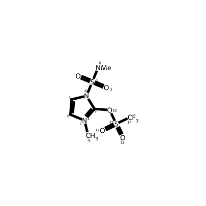 CNS(=O)(=O)n1cc[n+](C)c1OS(=O)(=O)C(F)(F)F